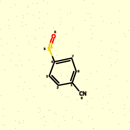 N#Cc1ccc([S+]=O)cc1